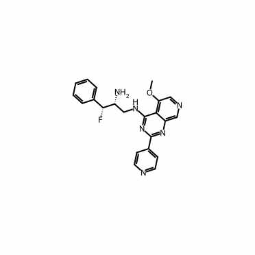 COc1cncc2nc(-c3ccncc3)nc(NC[C@@H](N)[C@H](F)c3ccccc3)c12